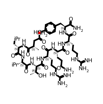 CC(C)C[C@H](NC(=O)[C@@H](C)CC(N)=O)C(=O)N[C@H](C(=O)N[C@H](C(=O)N[C@@H](CCCNC(=N)N)C(=O)N[C@@H](CCC(N)=O)C(=O)N[C@@H](CCCNC(=N)N)C(=O)N[C@@H](Cc1ccc(O)cc1)C(N)=O)[C@@H](C)O)C(C)C